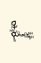 CNNC(=N)OCCNC(=O)Cc1c(C#N)ccc(NCC(F)(F)c2ccccn2)c1F